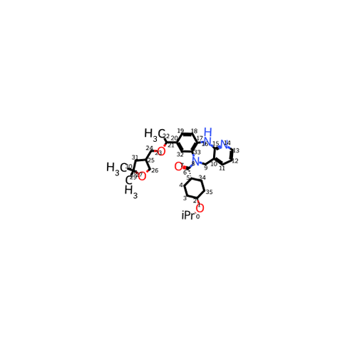 CC(C)O[C@H]1CC[C@H](C(=O)N2Cc3cccnc3Nc3ccc(C(C)OCC4COC(C)(C)C4)cc32)CC1